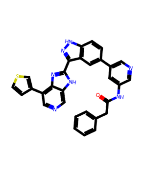 O=C(Cc1ccccc1)Nc1cncc(-c2ccc3[nH]nc(-c4nc5c(-c6ccsc6)cncc5[nH]4)c3c2)c1